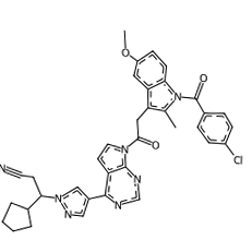 COc1ccc2c(c1)c(CC(=O)n1ccc3c(-c4cnn(C(CC#N)C5CCCC5)c4)ncnc31)c(C)n2C(=O)c1ccc(Cl)cc1